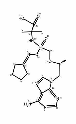 C[C@@H](Cn1cnc2c(N)ncnc21)OCP(=O)(NC(C)(C)C(=O)O)ON=C1CCCC1